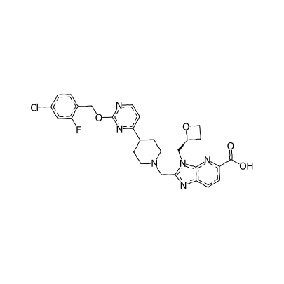 O=C(O)c1ccc2nc(CN3CCC(c4ccnc(OCc5ccc(Cl)cc5F)n4)CC3)n(C[C@@H]3CCO3)c2n1